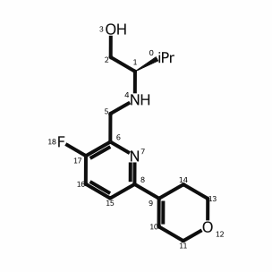 CC(C)[C@H](CO)NCc1nc(C2=CCOCC2)ccc1F